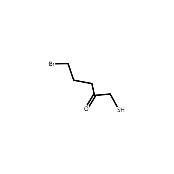 O=C(CS)CCCBr